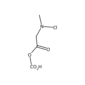 CN(Cl)CC(=O)OC(=O)O